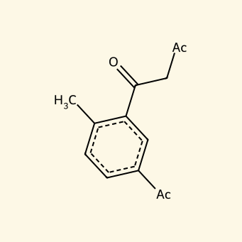 CC(=O)CC(=O)c1cc(C(C)=O)ccc1C